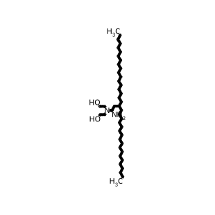 CCCCCCCCCCCCCCCCCCC(CCCCCCCCCCCCCCCCCC)CC(N)N(CCO)CCO